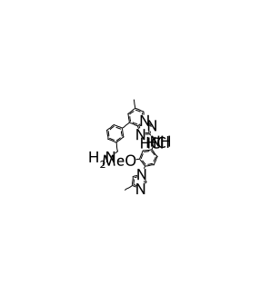 COc1cc(Nc2nc3c(-c4cccc(CN)c4)cc(C)cn3n2)ccc1-n1cnc(C)c1.Cl.Cl